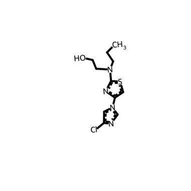 CCCN(CCO)c1nc(-n2cnc(Cl)c2)cs1